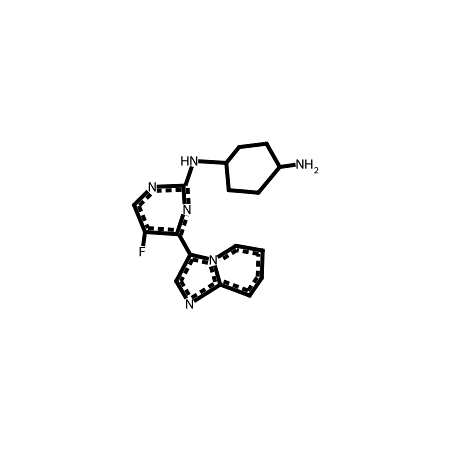 NC1CCC(Nc2ncc(F)c(-c3cnc4ccccn34)n2)CC1